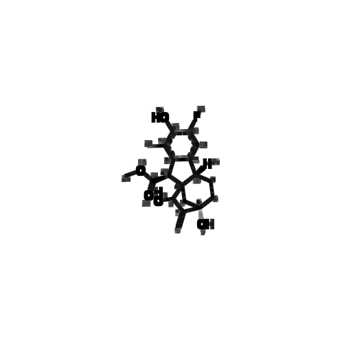 C=C1C(O)C23C[C@@]1(O)CC[C@H]2c1cc(F)c(O)c(C)c1[C@@H]3C(=O)OC